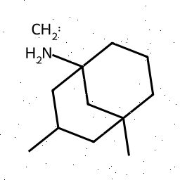 CC1CC2(C)CCCC(N)(C1)C2.[CH2]